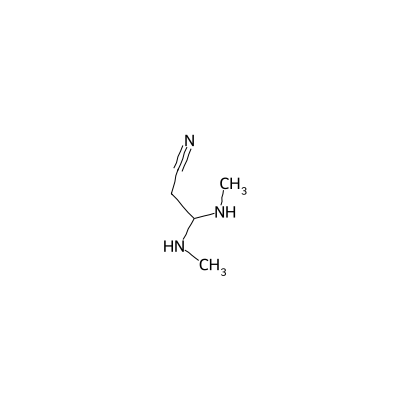 CNC(CC#N)NC